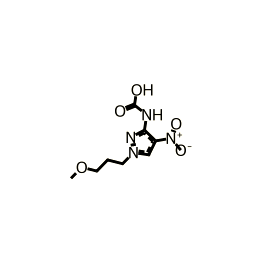 COCCCn1cc([N+](=O)[O-])c(NC(=O)O)n1